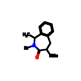 CCN1C(=O)C(NC)Cc2ccccc2C1C